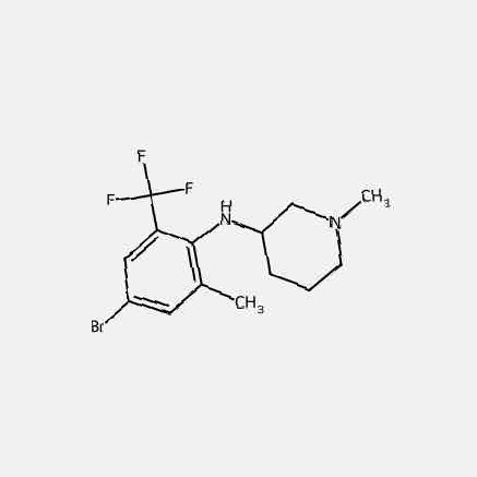 Cc1cc(Br)cc(C(F)(F)F)c1NC1CCCN(C)C1